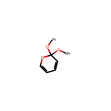 CC(C)OC1(OC(C)C)C=CC=CO1